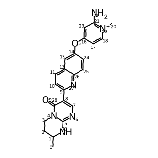 CC1CCn2c(ncc(-c3ccc4cc(Oc5cc[n+](C)c(N)c5)ccc4n3)c2=O)N1